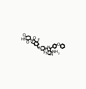 Nc1ncnc2c1c(-c1ccc(Oc3ccccc3)cc1)nn2C1CCN(Cc2cc(F)c3c(c2)CN(C2CCC(=O)NC2=O)C3=O)CC1F